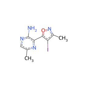 Cc1cnc(N)c(-c2onc(C)c2I)n1